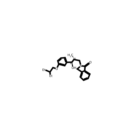 CCC(CC)COc1cccc([C@H](O)[C@H](C)CN2Cc3ccccc3C2=O)c1